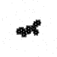 c1ccc(-c2nc(-c3ccc4ccccc4c3)nc(-c3cccc4c(-c5cc6ccc7ccccc7c6c6ccccc56)cccc34)n2)cc1